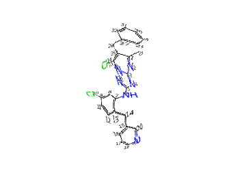 Cc1nc2nc(Nc3cc(Cl)ccc3Cc3cccnc3)nn2c(Cl)c1Cc1ccccc1